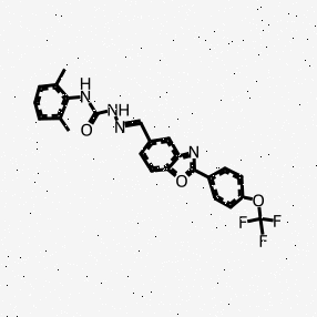 Cc1cccc(C)c1NC(=O)N/N=C/c1ccc2oc(-c3ccc(OC(F)(F)F)cc3)nc2c1